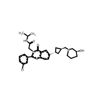 CC(C)NC(=O)Cn1c(-c2cccc(Cl)c2)nc2ccc([C@H]3C[C@H](CN4CCC[C@H](O)C4)C3)cc2c1=O